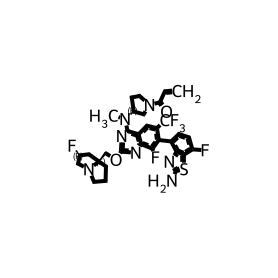 C=CC(=O)N1CC[C@@H](N(C)c2nc(OC[C@@]34CCCN3C[C@H](F)C4)nc3c(F)c(-c4ccc(F)c5sc(N)nc45)c(C(F)(F)F)cc23)C1